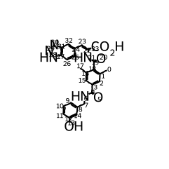 Cc1cc(C(=O)NCc2cccc(O)c2)cc(C)c1C(=O)N/C(=C\c1ccc2[nH]nnc2c1)C(=O)O